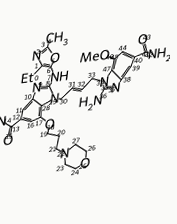 CCc1nc(C)oc1Nc1nc2cc(C(N)=O)cc(OCCCN3CCOCC3)c2n1C/C=C/Cn1c(N)nc2cc(C(N)=O)cc(OC)c21